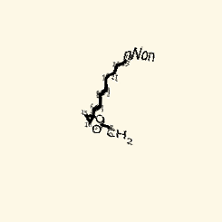 C=CC(=O)OC1(CCCCCCCCCCCCCCCCC)CC1